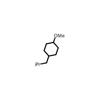 COC1CCC(CC(C)C)CC1